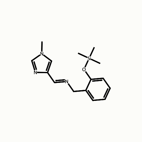 Cn1cnc(C=NCc2ccccc2O[Si](C)(C)C)c1